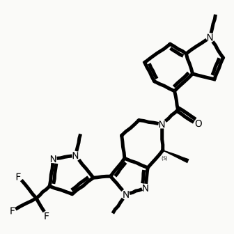 C[C@H]1c2nn(C)c(-c3cc(C(F)(F)F)nn3C)c2CCN1C(=O)c1cccc2c1ccn2C